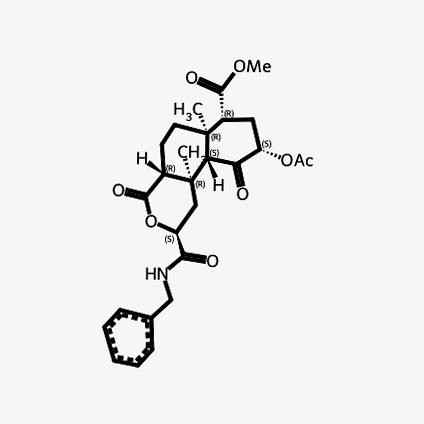 COC(=O)[C@@H]1C[C@H](OC(C)=O)C(=O)[C@H]2[C@@]1(C)CC[C@H]1C(=O)O[C@H](C(=O)NCc3ccccc3)C[C@]21C